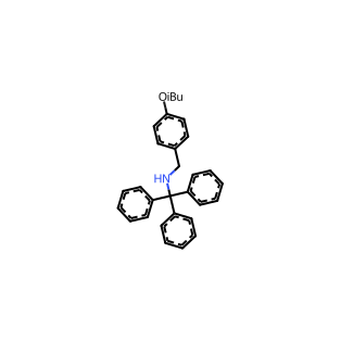 CC(C)COc1ccc(CNC(c2ccccc2)(c2ccccc2)c2ccccc2)cc1